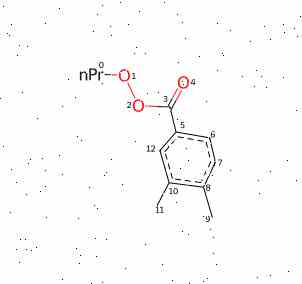 [CH2]CCOOC(=O)c1ccc(C)c(C)c1